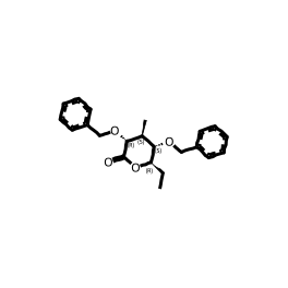 CC[C@H]1OC(=O)[C@H](OCc2ccccc2)[C@@H](C)[C@@H]1OCc1ccccc1